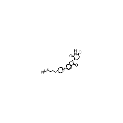 [N-]=[N+]=NCCCN1CCN(c2ccc3c(c2)CN(C2CCC(=O)NC2=O)C3=O)CC1